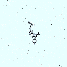 CC(C)=CCN(C(=O)Nc1ncc(SCCC(=O)O)s1)C1CCC(C)CC1